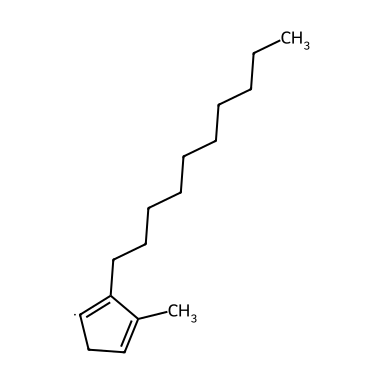 CCCCCCCCCCC1=[C]CC=C1C